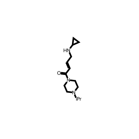 CC(C)N1CCN(C(=O)/C=C/CNC2CC2)CC1